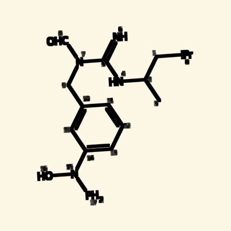 CC(C)CC(C)NC(=N)N(C=O)Cc1cccc(N(O)P)c1